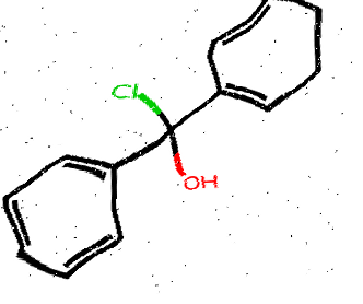 OC(Cl)(C1=CCCC=C1)c1ccccc1